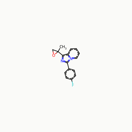 CC1(c2nc(-c3ccc(F)cc3)n3ccccc23)CO1